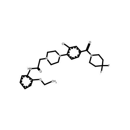 CCOc1ccccc1NC(=O)CN1CCN(c2ccc(C(=O)N3CCC(F)(F)CC3)cc2Cl)CC1